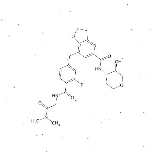 CN(C)C(=O)CNC(=O)c1ccc(Cc2cc(C(=O)N[C@H]3CCOC[C@@H]3O)nc3c2OCC3)cc1F